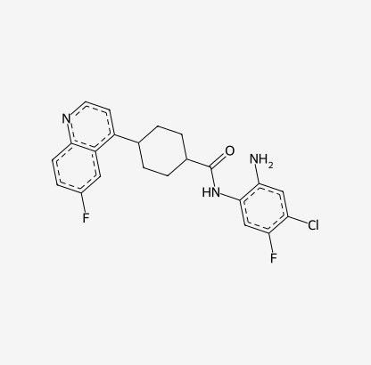 Nc1cc(Cl)c(F)cc1NC(=O)C1CCC(c2ccnc3ccc(F)cc23)CC1